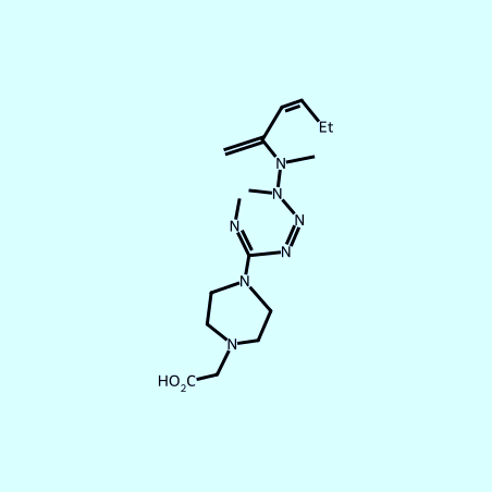 C=C(/C=C\CC)N(C)N(C)/N=N\C(=N/C)N1CCN(CC(=O)O)CC1